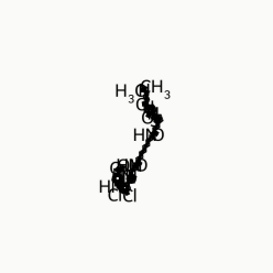 CN(C)C/C=C/C(=O)N1CCN(c2ccc(CCC(=O)NCCCCCCCCC(=O)NCCn3ccc(-c4cc(Cl)c(Cl)c5[nH]c6c(c45)CN(C(=O)CO)CC6)n3)s2)C(=O)C1